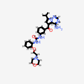 CC(C)c1cc(C(=O)c2cccc(NC(=O)Nc3ccccc3OCCN3CCOCC3)c2)c2c(N)ncnn12